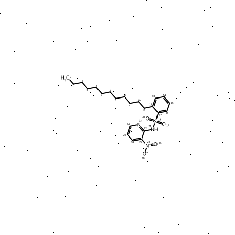 CCCCCCCCCCCCc1ccccc1S(=O)(=O)Nc1ncccc1[N+](=O)[O-]